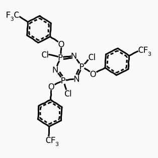 FC(F)(F)c1ccc(OP2(Cl)=NP(Cl)(Oc3ccc(C(F)(F)F)cc3)=NP(Cl)(Oc3ccc(C(F)(F)F)cc3)=N2)cc1